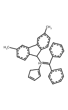 Cc1ccc2c(c1)-c1cc(C)ccc1[CH]2[Hf]([C]1=CC=CC1)=[C](c1ccccc1)c1ccccc1